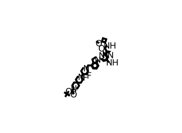 CNc1cc(N2CCc3c(CN4CCC(N5CCC6(CCN(C(=O)OC(C)(C)C)CC6)CC5)C(F)(F)C4)cccc32)nn2c(C(=O)N[C@@H]3CC[C@H]3OC)cnc12